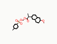 COc1ccc2cc(C(C)C(=O)OCOS(=O)(=O)c3ccc(C)cc3)ccc2c1